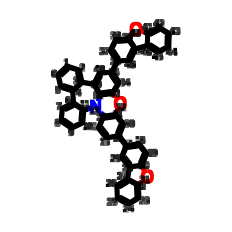 c1ccc2c(c1)-c1ccccc1N1c3ccc(-c4ccc5oc6ccccc6c5c4)cc3Oc3cc(-c4ccc5oc6ccccc6c5c4)cc-2c31